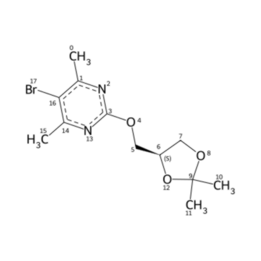 Cc1nc(OC[C@H]2COC(C)(C)O2)nc(C)c1Br